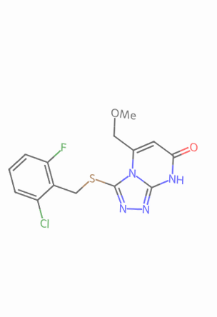 COCc1cc(=O)[nH]c2nnc(SCc3c(F)cccc3Cl)n12